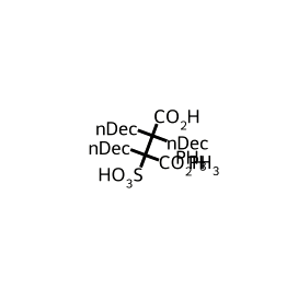 CCCCCCCCCCC(CCCCCCCCCC)(C(=O)O)C(CCCCCCCCCC)(C(=O)O)S(=O)(=O)O.P.P